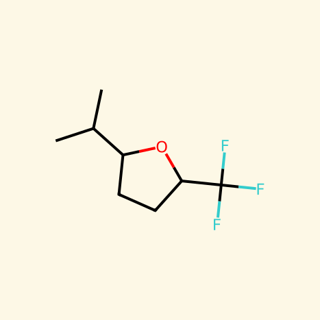 CC(C)C1CCC(C(F)(F)F)O1